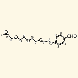 O=Cc1ccc(OCCOCCOCCOCC2CO2)cc1